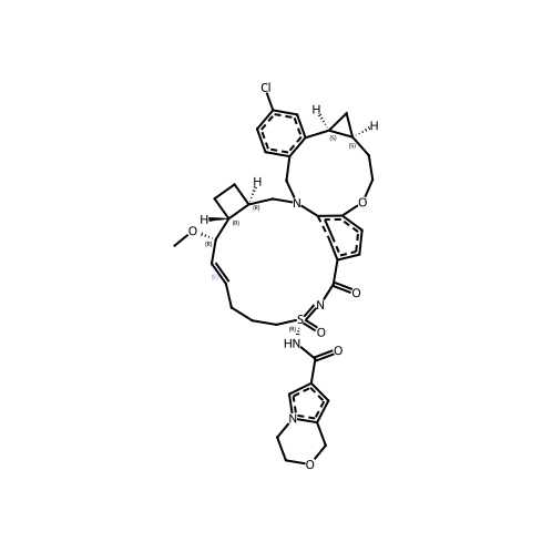 CO[C@H]1/C=C/CCC[S@@](=O)(NC(=O)c2cc3n(c2)CCOC3)=NC(=O)c2ccc3c(c2)N(Cc2ccc(Cl)cc2[C@H]2C[C@H]2CCO3)C[C@@H]2CC[C@H]21